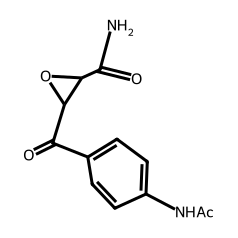 CC(=O)Nc1ccc(C(=O)C2OC2C(N)=O)cc1